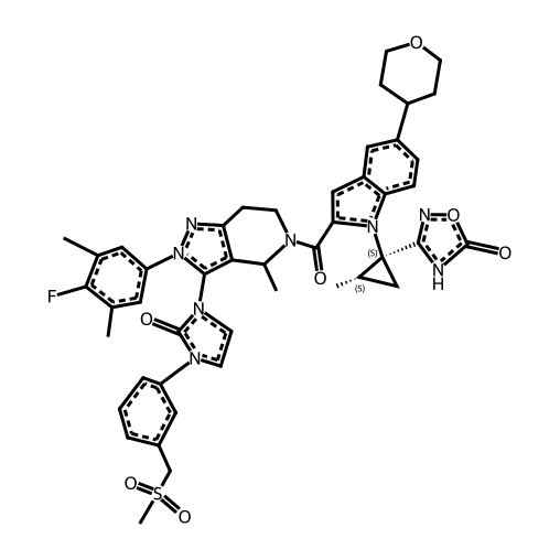 Cc1cc(-n2nc3c(c2-n2ccn(-c4cccc(CS(C)(=O)=O)c4)c2=O)C(C)N(C(=O)c2cc4cc(C5CCOCC5)ccc4n2[C@@]2(c4noc(=O)[nH]4)C[C@@H]2C)CC3)cc(C)c1F